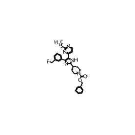 CSc1nccc(-c2[nH]c(C3CCN(C(=O)OCc4ccccc4)CC3)nc2-c2cccc(CF)c2)n1